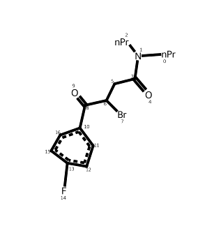 CCCN(CCC)C(=O)CC(Br)C(=O)c1ccc(F)cc1